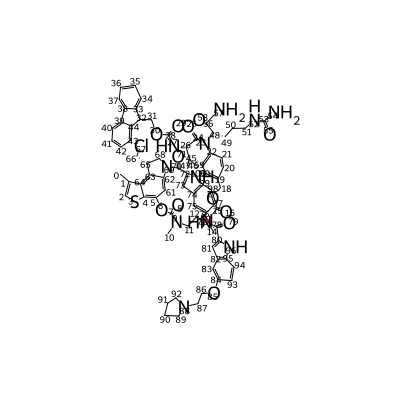 Cc1csc2c(OC(=O)N(C)CCN(C)C(=O)OCc3ccc(N(C(=O)[C@@H](NC(=O)OCC4c5ccccc5-c5ccccc54)C(C)C)[C@@H](CCCNC(N)=O)C(N)=O)cc3)cc3c(c12)[C@H](CCl)CN3C(=O)c1cc2cc(NC(=O)c3cc4cc(OCCN5CCCC5)ccc4[nH]3)ccc2[nH]1